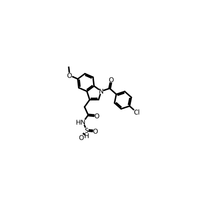 COc1ccc2c(c1)c(CC(=O)N[SH](=O)=O)cn2C(=O)c1ccc(Cl)cc1